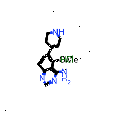 COc1c(C2=CCNCC2)ccc2ncnc(N)c12.Cl